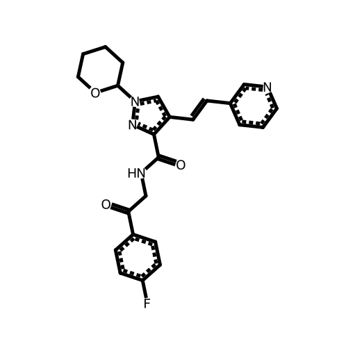 O=C(CNC(=O)c1nn(C2CCCCO2)cc1C=Cc1cccnc1)c1ccc(F)cc1